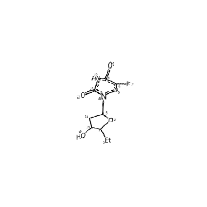 CCC1OC(n2cc(F)c(=O)[nH]c2=O)CC1O